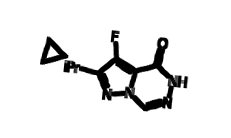 C1CC1.CC(C)c1nn2cn[nH]c(=O)c2c1F